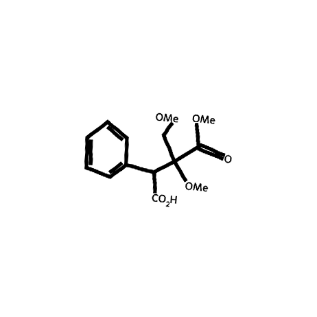 COCC(OC)(C(=O)OC)C(C(=O)O)c1ccccc1